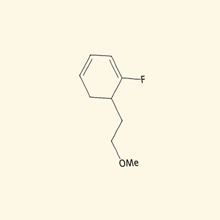 COCCC1CC=CC=C1F